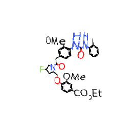 CCOC(=O)c1ccc(OCC2CC(F)CN2C(=O)Cc2ccc(NC(=O)Nc3ccccc3C)c(OC)c2)c(OC)c1